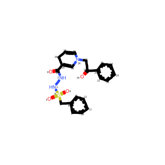 O=C(NNS(=O)(=O)Cc1ccccc1)C1=CN(CC(=O)c2ccccc2)C=CC1